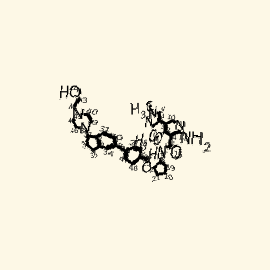 COc1c(-c2cnn(C)c2)cnc(N)c1C(=O)N[C@H]1CCC[C@@H]1OCc1ccc(-c2ccc3c(c2)CC[C@@H]3N2CCN(CCO)CC2)cc1